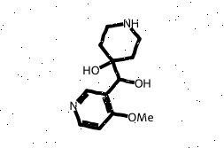 COc1ccncc1C(O)C1(O)CCNCC1